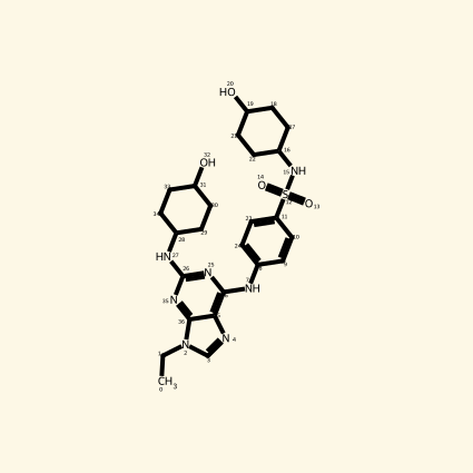 CCn1cnc2c(Nc3ccc(S(=O)(=O)NC4CCC(O)CC4)cc3)nc(NC3CCC(O)CC3)nc21